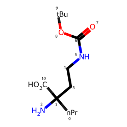 CCCC(N)(CCNC(=O)OC(C)(C)C)C(=O)O